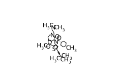 COC(=O)c1sc(C#CC(C)(C)C)cc1N(C(=O)[C@H]1CC[C@H](C)CC1)C1CCCCN(CCN(C)C)C1=O